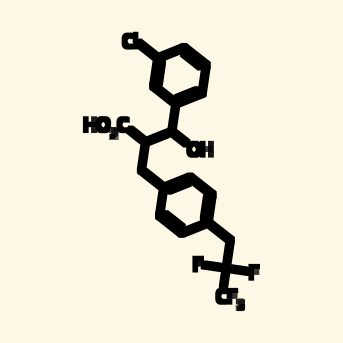 O=C(O)C(Cc1ccc(CC(F)(F)C(F)(F)F)cc1)C(O)c1cccc(Cl)c1